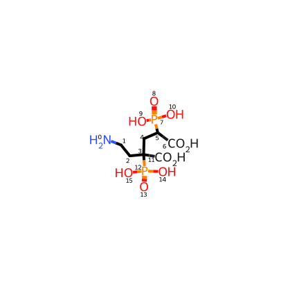 NCCC(CC(C(=O)O)P(=O)(O)O)(C(=O)O)P(=O)(O)O